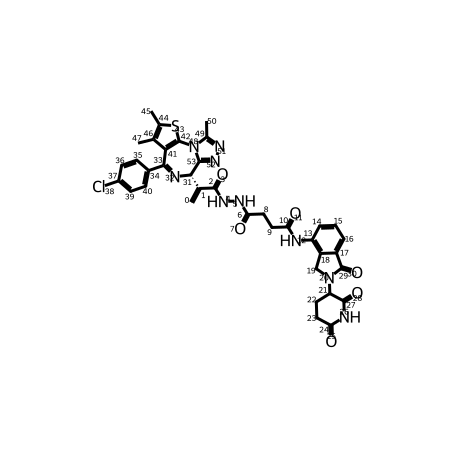 C=C(C(=O)NNC(=O)CCC(=O)Nc1cccc2c1CN(C1CCC(=O)NC1=O)C2=O)[C@@H]1N=C(c2ccc(Cl)cc2)c2c(sc(C)c2C)-n2c(C)nnc21